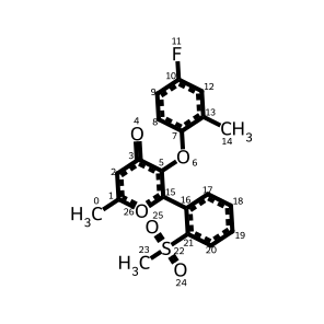 Cc1cc(=O)c(Oc2ccc(F)cc2C)c(-c2ccccc2S(C)(=O)=O)o1